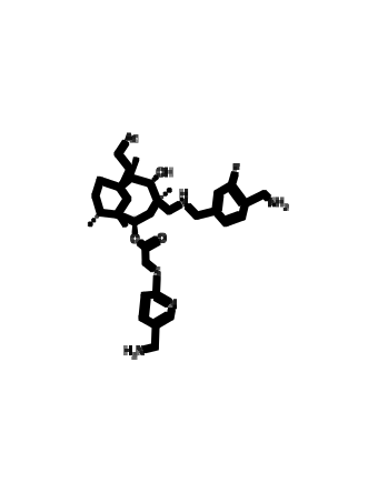 CC(=O)CC[C@]12CC[C@@H](C)[C@](C)(C1)[C@H](OC(=O)CSc1ccc(CN)cn1)C[C@](C)(CNCc1ccc(CN)c(F)c1)[C@@H](O)[C@@H]2C